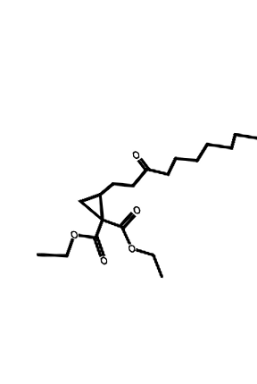 CCCCCCCC(=O)CCC1CC1(C(=O)OCC)C(=O)OCC